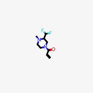 C=CC(=O)N1CCN(C)C(C(F)F)C1